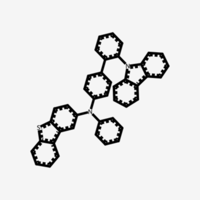 c1ccc(N(c2ccc(-c3ccccc3-n3c4ccccc4c4ccccc43)cc2)c2ccc3sc4ccccc4c3c2)cc1